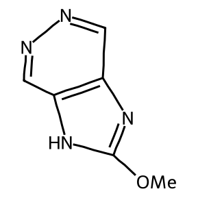 COc1nc2cnncc2[nH]1